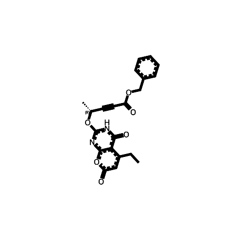 CCc1cc(=O)oc2nc(O[C@H](C)C#CC(=O)OCc3ccccc3)[nH]c(=O)c12